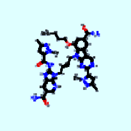 CCn1nc(C)cc1C(=O)Nc1nc2cc(C(N)=O)cnc2n1CC=CCn1c2nc(-c3cc(C)nn3CC)ncc2c2cc(C(N)=O)cc(OCCCNC)c21